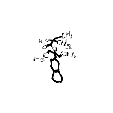 CCC(C)(C)C(=O)OC(CC)(CC)C1CCC2CCCCC2C1